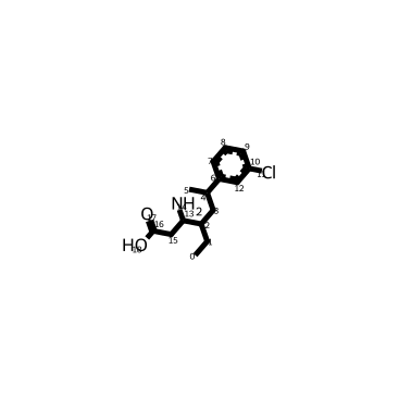 CCC(CC(C)c1cccc(Cl)c1)C(N)CC(=O)O